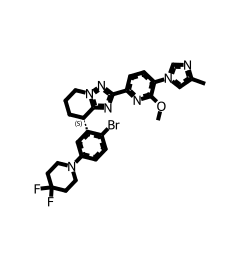 COc1nc(-c2nc3n(n2)CCC[C@H]3c2cc(N3CCC(F)(F)CC3)ccc2Br)ccc1-n1cnc(C)c1